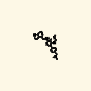 C=N/C=N\c1c(-c2ccc(CN(C)C)cc2)cnc(NCc2cccc3c2CCO3)c1C